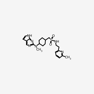 Cc1cccc(CCNS(=O)(=O)CC2CCC(N(C)c3ncc4cc[nH]c4n3)CC2)n1